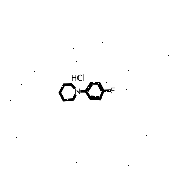 Cl.Fc1ccc(N2CCCCC2)cc1